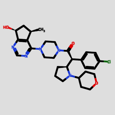 C[C@@H]1C[C@@H](O)c2ncnc(N3CCN(C(=O)[C@@H](c4ccc(Cl)cc4)[C@@H]4CCCN4C4CCOCC4)CC3)c21